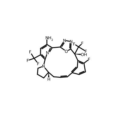 Nc1cc(C(F)(F)F)c2nc1-c1nnc(o1)[C@](O)(C(F)(F)F)c1cc(ccc1F)C=CC[C@@H]1CCCN21